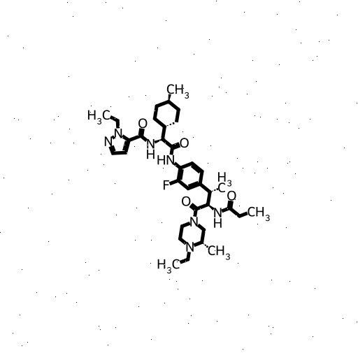 CCC(=O)N[C@@H](C(=O)N1CCN(CC)[C@@H](C)C1)[C@@H](C)c1ccc(NC(=O)[C@@H](NC(=O)c2ccnn2CC)[C@H]2CC[C@H](C)CC2)c(F)c1